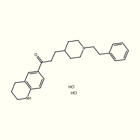 Cl.Cl.O=C(CCC1CCN(CCc2ccccc2)CC1)c1ccc2c(c1)CCCN2